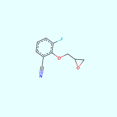 N#Cc1cccc(F)c1OCC1CO1